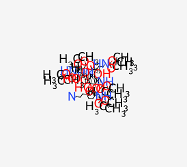 CC(C)(C)OC(=O)NCC[C@H](O)C(=O)N[C@@H]1C[C@@H](NC(=O)OC(C)(C)C)C(O[C@H]2OC(CCC#N)CCC2NC(=O)OC(C)(C)C)C(O)[C@H]1O[C@H]1OC2COC(C)(C)O[C@H]2[C@H](NC(=O)OC(C)(C)C)C1O